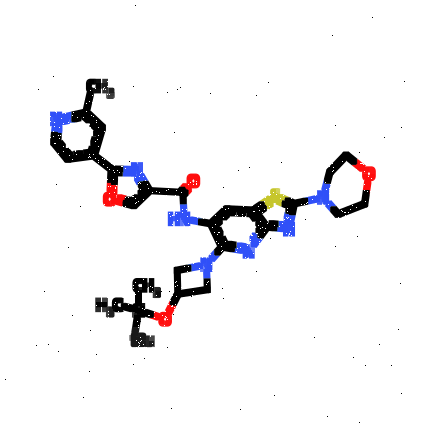 Cc1cc(-c2nc(C(=O)Nc3cc4sc(N5CCOCC5)nc4nc3N3CC(O[Si](C)(C)C(C)(C)C)C3)co2)ccn1